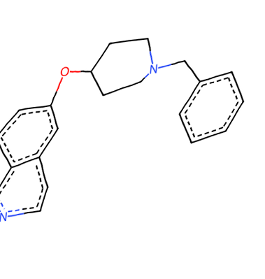 c1ccc(CN2CCC(Oc3ccc4cnccc4c3)CC2)cc1